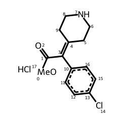 COC(=O)C(=C1CCNCC1)c1ccc(Cl)cc1.Cl